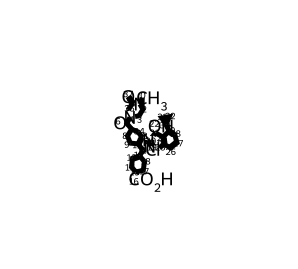 CN1CCN(C(=O)C2CCc3c(C4=CCC(C(=O)O)CC4)nn(C(O)c4c(Cl)cccc4C4CC4)c3C2)CC1=O